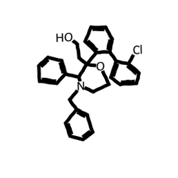 OCCC1(c2ccccc2-c2ccccc2Cl)OCCN(Cc2ccccc2)C1c1ccccc1